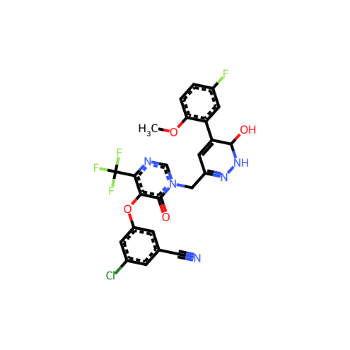 COc1ccc(F)cc1C1=CC(Cn2cnc(C(F)(F)F)c(Oc3cc(Cl)cc(C#N)c3)c2=O)=NNC1O